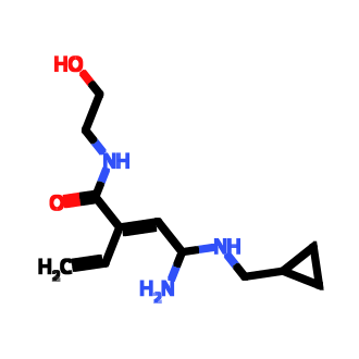 C=C/C(=C\C(N)NCC1CC1)C(=O)NCCO